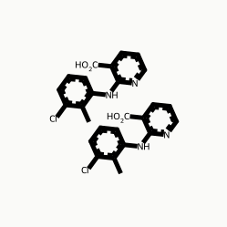 Cc1c(Cl)cccc1Nc1ncccc1C(=O)O.Cc1c(Cl)cccc1Nc1ncccc1C(=O)O